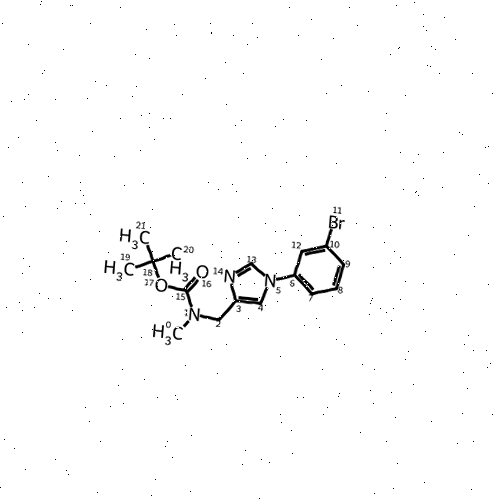 CN(Cc1cn(-c2cccc(Br)c2)cn1)C(=O)OC(C)(C)C